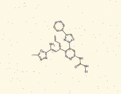 C=C/C=C(\C=C(/N)c1nnc(C)o1)c1cnc(NC(=O)NCC)cc1-c1nc(-c2ccccc2)cs1